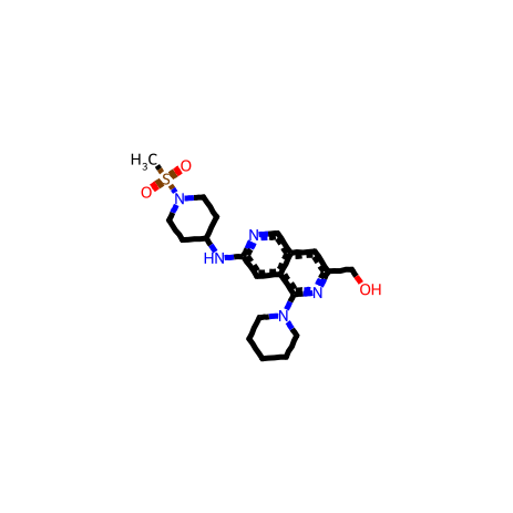 CS(=O)(=O)N1CCC(Nc2cc3c(N4CCCCC4)nc(CO)cc3cn2)CC1